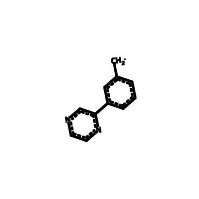 [CH2]c1cccc(-c2cnccn2)c1